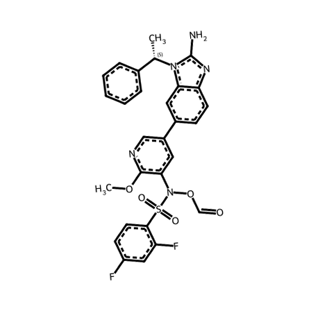 COc1ncc(-c2ccc3nc(N)n([C@@H](C)c4ccccc4)c3c2)cc1N(OC=O)S(=O)(=O)c1ccc(F)cc1F